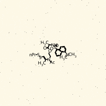 CCCSSC=C(C)N(CCOC(=O)C(C)NS(=O)(=O)c1cccc2c(N(C)C)cccc12)C(C)=O